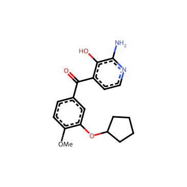 COc1ccc(C(=O)c2ccnc(N)c2O)cc1OC1CCCC1